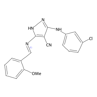 COc1ccccc1/C=N/c1[nH]nc(Nc2cccc(Cl)c2)c1C#N